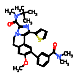 COc1cc2c(cc1-c1cccc(C(=O)N(C)C)c1)-c1c(-c3cccs3)nc(C(=O)N(C)C(C)(C)C)n1CC2